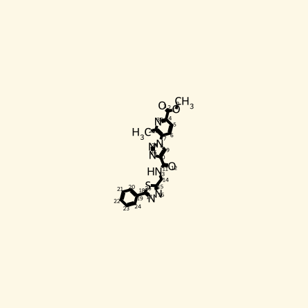 COC(=O)c1ccc(-n2cc(C(=O)NCc3nnc(-c4ccccc4)s3)nn2)c(C)n1